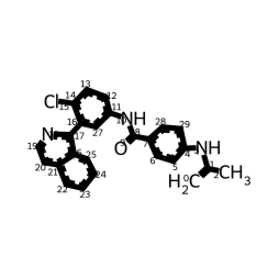 C=C(C)Nc1ccc(C(=O)Nc2ccc(Cl)c(-c3nccc4ccccc34)c2)cc1